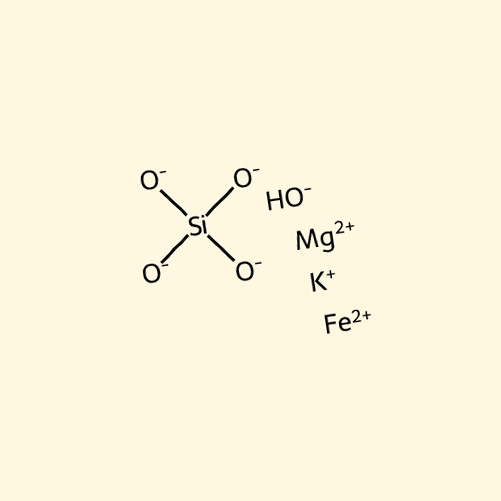 [Fe+2].[K+].[Mg+2].[O-][Si]([O-])([O-])[O-].[OH-]